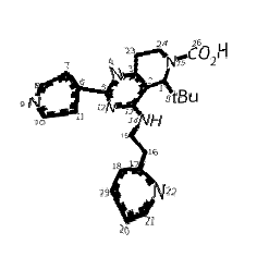 CC(C)(C)C1c2c(nc(-c3ccncc3)nc2NCCc2ccccn2)CCN1C(=O)O